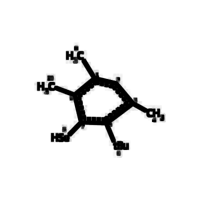 Cc1cc(C)c(C(C)(C)C)c([SeH])c1C